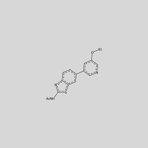 CCOc1cncc(-c2ccc3nc(NC(C)=O)sc3c2)c1